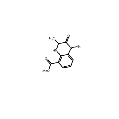 CCN1C(=O)C(C)Nc2c(C(=O)OC)cccc21